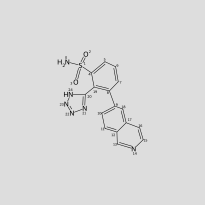 NS(=O)(=O)c1cccc(-c2ccc3cnccc3c2)c1-c1nnn[nH]1